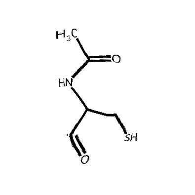 CC(=O)NC([C]=O)CS